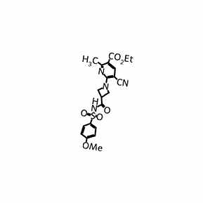 CCOC(=O)c1cc(C#N)c(N2CC(C(=O)NS(=O)(=O)c3ccc(OC)cc3)C2)nc1C